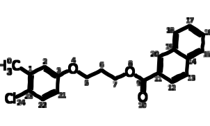 Cc1cc(OCCCOC(=O)c2ccc3ccccc3c2)ccc1Cl